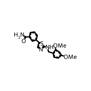 COc1ccc(CNc2ncc(-c3cccc(C(N)=O)c3)s2)c(OC)c1